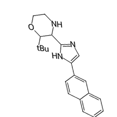 CC(C)(C)C1OCCNC1c1ncc(-c2ccc3ccccc3c2)[nH]1